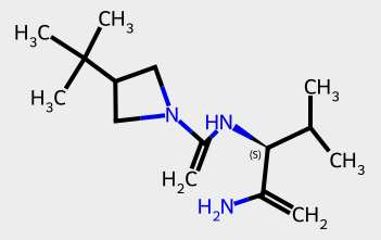 C=C(N)[C@@H](NC(=C)N1CC(C(C)(C)C)C1)C(C)C